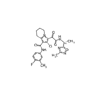 Cc1noc([C@@H](C)NC(=O)C(=O)c2c(Cl)c(C(=O)Nc3ccc(F)c(C)c3)c3n2CCCC3)n1